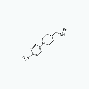 CCNCC1CCN(c2ccc([N+](=O)[O-])cc2)CC1